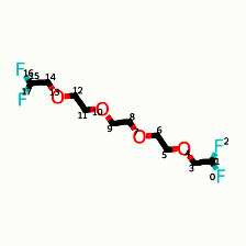 FC(F)COCCOCCOCCOCC(F)F